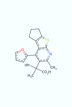 CCCC(C)(C(=O)O)c1c(C)nc2sc3c(c2c1-c1ccco1)CCC3